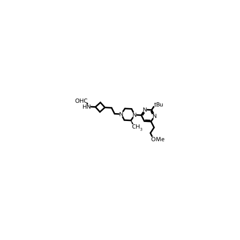 COCCc1cc(N2CCN(CCC3CC(NC=O)C3)C[C@@H]2C)nc(C(C)(C)C)n1